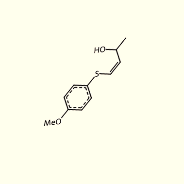 COc1ccc(S/C=C\C(C)O)cc1